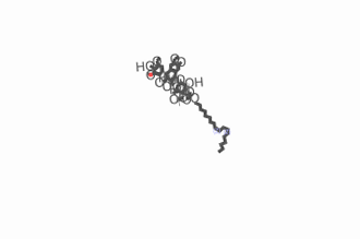 CCCCC/C=C\C/C=C\CCCCCCCCOC(=O)O[C@@H]1[C@@H](O)[C@H](O[C@@H]2c3cc4c(cc3[C@@H](c3cc(OC)c(O)c(OC)c3)[C@H]3C(=O)OC[C@@H]32)OCO4)O[C@@H]2CO[C@@H](C)O[C@@H]12